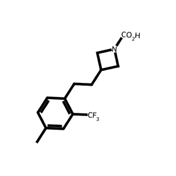 Cc1ccc(CCC2CN(C(=O)O)C2)c(C(F)(F)F)c1